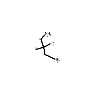 CCC(C)CC(C)(CC)CN